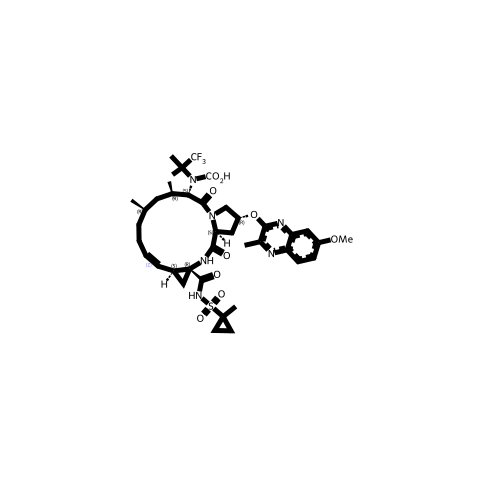 COc1ccc2nc(C)c(O[C@@H]3C[C@H]4C(=O)N[C@]5(C(=O)NS(=O)(=O)C6(C)CC6)C[C@H]5/C=C\CC[C@@H](C)C[C@@H](C)[C@H](N(C(=O)O)C(C)(C)C(F)(F)F)C(=O)N4C3)nc2c1